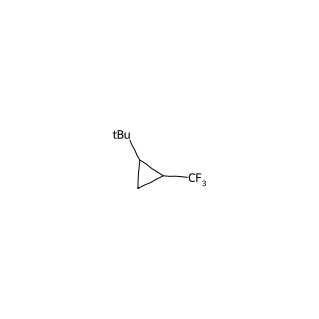 CC(C)(C)C1CC1C(F)(F)F